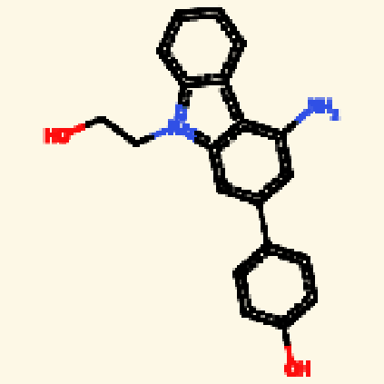 Nc1cc(-c2ccc(O)cc2)cc2c1c1ccccc1n2CCO